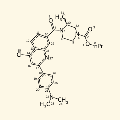 CCCOC(=O)N1CCN(C(=O)c2ccc3c(Cl)cc(-c4ccc(N(C)C)cc4)nc3c2)[C@@H](C)C1